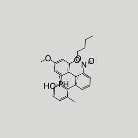 CCCCOc1cc(OC)cc(PO)c1-c1c(-c2c(C)cccc2C)cccc1[N+](=O)[O-]